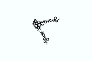 C=C(C)C(=O)OCCOCCOCc1cc(C2=C(c3cc(COCCOCCOC(=O)C(=C)C)sc3I)C(F)(F)C(F)(F)C2(F)F)c(C)s1